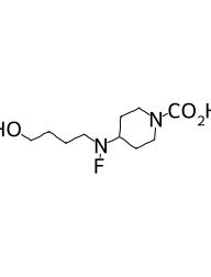 O=C(O)N1CCC(N(F)CCCCO)CC1